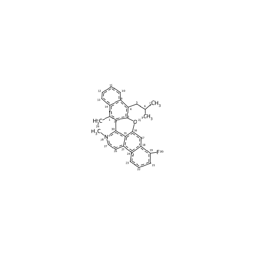 Cc1c2c(c(CC(C)C)c3ccccc13)Oc1cc3c(F)cccc3c3cc[n+](C)c-2c13